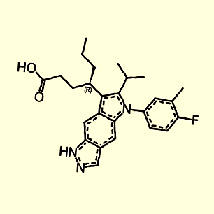 CCC[C@H](CCC(=O)O)c1c(C(C)C)n(-c2ccc(F)c(C)c2)c2cc3cn[nH]c3cc12